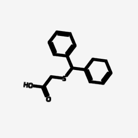 O=C(O)CSC(C1=CC=CCC1)c1ccccc1